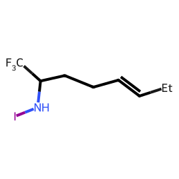 CC/C=C/CCC(NI)C(F)(F)F